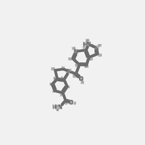 NC(=O)c1ccc2c(c1)N(C(=O)c1cnc3[nH]ncc3c1)CC2